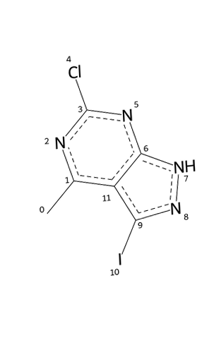 Cc1nc(Cl)nc2[nH]nc(I)c12